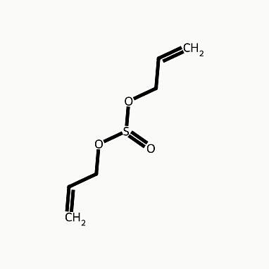 C=CCOS(=O)OCC=C